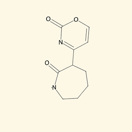 O=C1[N]CCCCC1c1ccoc(=O)n1